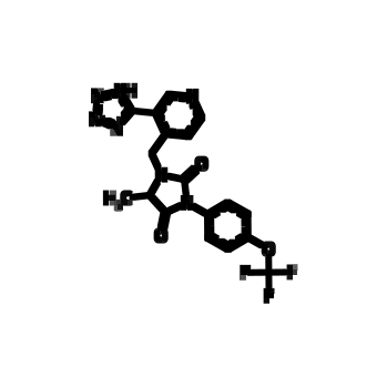 CC1C(=O)N(c2ccc(OC(F)(F)F)cc2)C(=O)N1Cc1ccncc1-c1nnn[nH]1